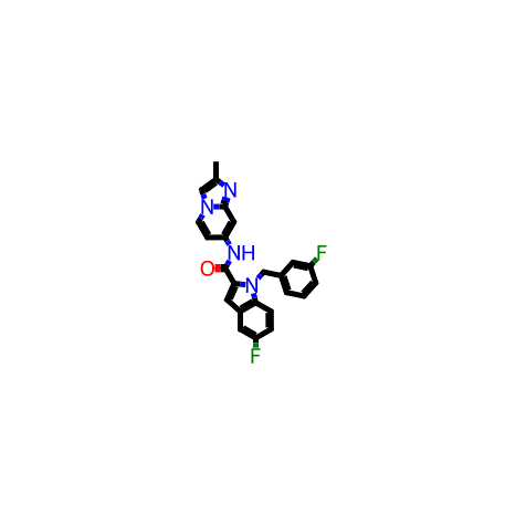 Cc1cn2ccc(NC(=O)c3cc4cc(F)ccc4n3Cc3cccc(F)c3)cc2n1